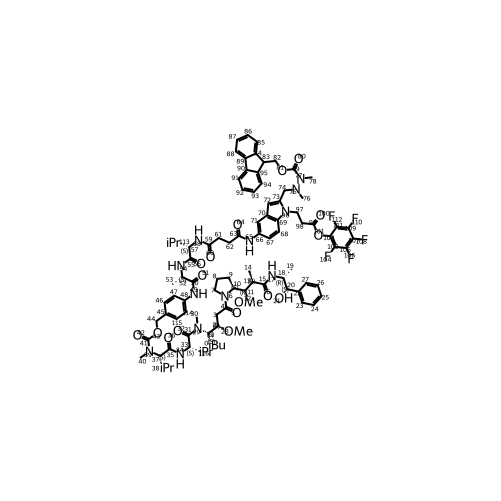 CC[C@H](C)[C@@H]([C@@H](CC(=O)N1CCC[C@H]1[C@H](OC)[C@@H](C)C(=O)N[C@H](C)[C@@H](O)c1ccccc1)OC)N(C)C(=O)[C@@H](NC(=O)[C@H](C(C)C)N(C)C(=O)OCc1ccc(NC(=O)[C@H](C)NC(=O)[C@@H](NC(=O)CCC(=O)Nc2ccc3c(c2)cc(CN(C)N(C)C(=O)OCC2c4ccccc4-c4ccccc42)n3CCC(=O)Oc2c(F)c(F)c(F)c(F)c2F)C(C)C)cc1)C(C)C